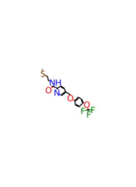 CSCCNC(=O)c1ccc(COc2ccc(OC(F)(F)F)cc2)cn1